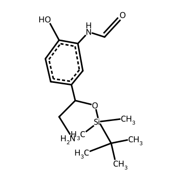 CC(C)(C)[Si](C)(C)OC(CN)c1ccc(O)c(NC=O)c1